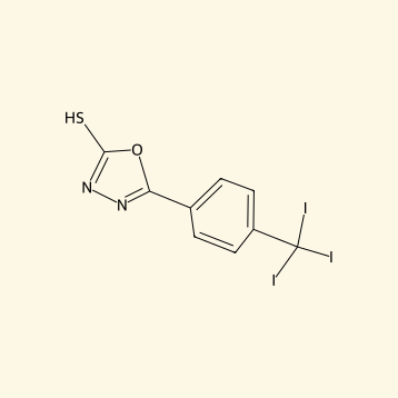 Sc1nnc(-c2ccc(C(I)(I)I)cc2)o1